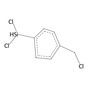 ClCc1ccc([SiH](Cl)Cl)cc1